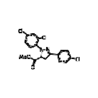 COC(=O)C1CC(c2ccc(Cl)cc2)=NN1c1ccc(Cl)cc1Cl